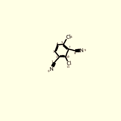 N#Cc1ccc(Cl)c(C#N)c1Cl